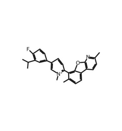 Cc1ccc2c(n1)oc1c(-c3ccc(-c4ccc(F)c(C(C)C)c4)c[n+]3C)c(C)ccc12